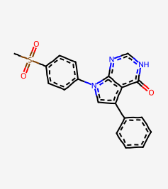 CS(=O)(=O)c1ccc(-n2cc(-c3ccccc3)c3c(=O)[nH]cnc32)cc1